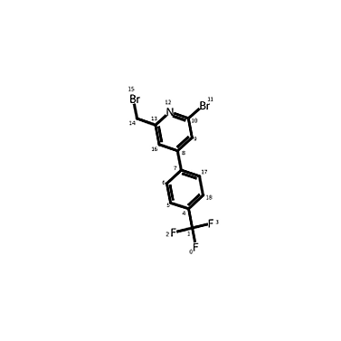 FC(F)(F)c1ccc(-c2cc(Br)nc(CBr)c2)cc1